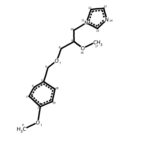 COc1ccc(COCC(Cn2ccnc2)OC)cc1